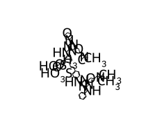 CN(C)CCOc1nc(Nc2ccccc2)nc(Nc2ccc(/C=C/c3ccc(Nc4nc(OCCN(C)C)nc(N5CCOCC5)n4)cc3SOOO)c(S(=O)(=O)O)c2)n1